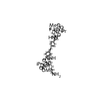 COC(=O)N[C@H](C(=O)N1C[C@@H](F)C[C@H]1c1ncc(-c2ccc(C#Cc3ccc4nc([C@@H]5C[C@H](CCCCN)CN5C(=O)[C@@H](NC(=O)OC)C(C)C)[nH]c4c3)cc2)[nH]1)C(C)C